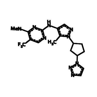 CNc1nc(Nc2cnn(C3CCC(n4ccnn4)C3)c2C)ncc1C(F)(F)F